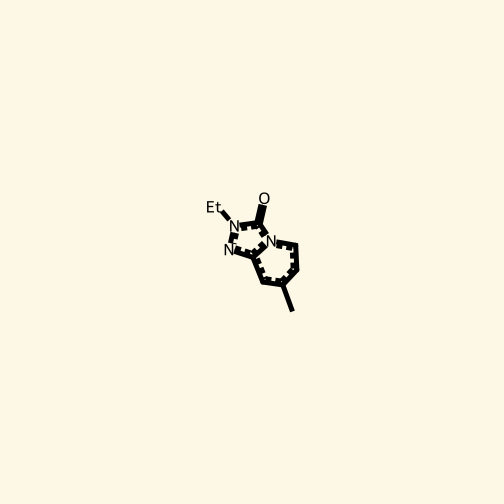 CCn1nc2cc(C)ccn2c1=O